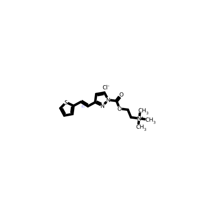 C[N+](C)(C)CCOC(=O)n1ccc(/C=C/c2cccs2)n1.[Cl-]